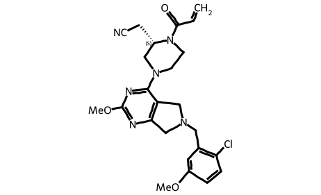 C=CC(=O)N1CCN(c2nc(OC)nc3c2CN(Cc2cc(OC)ccc2Cl)C3)C[C@@H]1CC#N